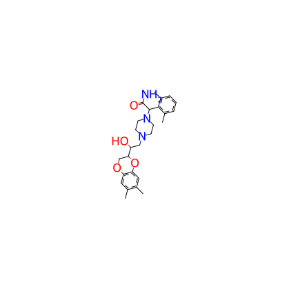 Cc1cc2c(cc1C)OC(C(O)CN1CCN(C(C(N)=O)c3c(C)cccc3C)CC1)CO2